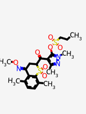 CCCS(=O)(=O)Oc1c(C(=O)C2CC(=NOC)c3c(C)ccc(C)c3S2(=O)=O)c(C)nn1C